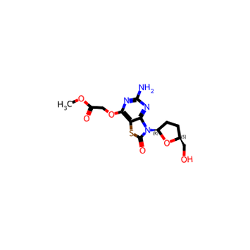 COC(=O)COc1nc(N)nc2c1sc(=O)n2[C@H]1CC[C@@H](CO)O1